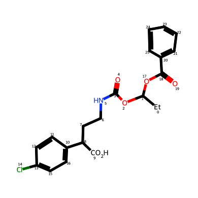 CCC(OC(=O)NCCC(C(=O)O)c1ccc(Cl)cc1)OC(=O)c1ccccc1